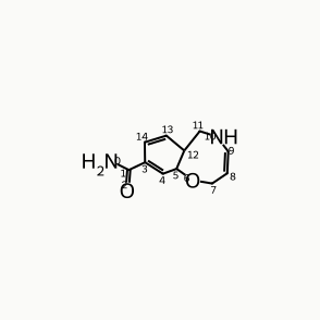 NC(=O)C1=CC2OC/C=C\NCC2C=C1